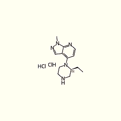 CC[C@H]1CNCCN1c1ccnc2c1cnn2C.Cl.Cl